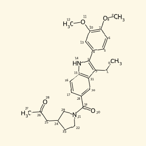 CCc1c(-c2ccc(OC)c(OC)c2)[nH]c2ccc(C(=O)N3CCC(CC(C)=O)C3)cc12